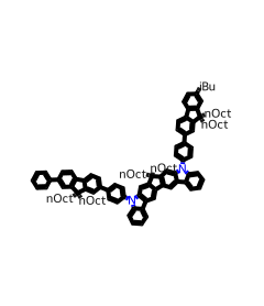 CCCCCCCCC1(CCCCCCCC)c2cc(-c3ccccc3)ccc2-c2ccc(-c3ccc(-n4c5ccccc5c5cc6c(cc54)C(CCCCCCCC)(CCCCCCCC)c4cc5c(cc4-6)c4ccccc4n5-c4ccc(-c5ccc6c(c5)C(CCCCCCCC)(CCCCCCCC)c5cc(C(C)CC)ccc5-6)cc4)cc3)cc21